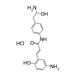 Cl.Nc1ccc(O)c(C=CC(=O)Nc2ccc(CC(N)O)cc2)c1